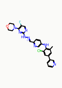 Cc1cc(-c2cccnc2)cc(Cl)c1Nc1ccc(/C=N/Nc2ncc(F)c(N3CCOCC3)n2)nc1